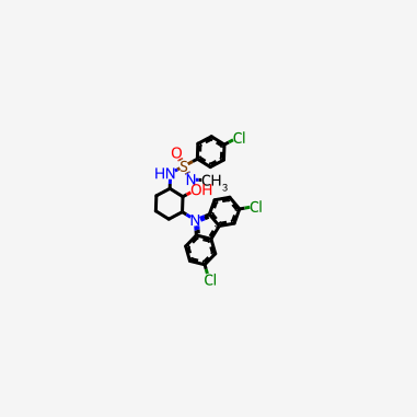 CN=S(=O)(NC1CCCC(n2c3ccc(Cl)cc3c3cc(Cl)ccc32)C1O)c1ccc(Cl)cc1